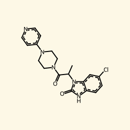 CC(C(=O)N1CCN(c2ccncc2)CC1)n1c(=O)[nH]c2ccc(Cl)cc21